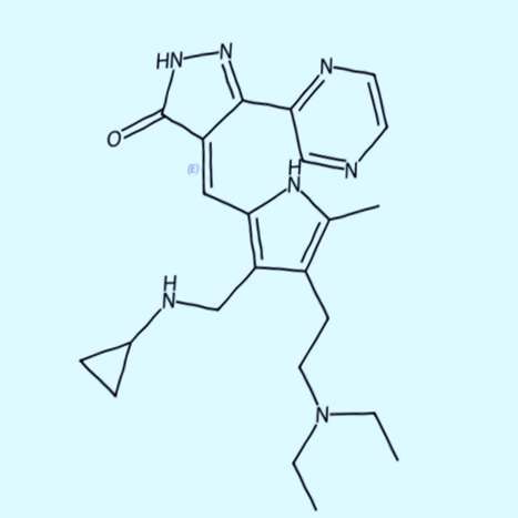 CCN(CC)CCc1c(C)[nH]c(/C=C2/C(=O)NN=C2c2cnccn2)c1CNC1CC1